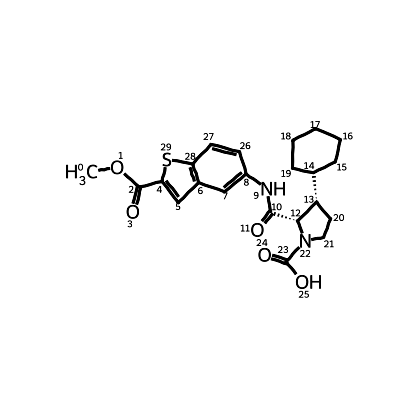 COC(=O)c1cc2cc(NC(=O)[C@@H]3[C@H](C4CCCCC4)CCN3C(=O)O)ccc2s1